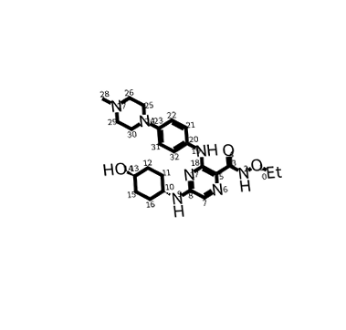 CCONC(=O)c1ncc(N[C@H]2CC[C@H](O)CC2)nc1Nc1ccc(N2CCN(C)CC2)cc1